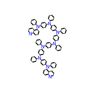 c1ccc(N(c2ccc(N(c3ccccc3)c3ccc(N(c4ccccc4)c4ccc(N(c5ccccc5)c5cccc6ncccc56)cc4)cc3)cc2)c2ccc(N(c3ccccc3)c3ccc(N(c4ccccc4)c4ccc(N(c5ccccc5)c5cccc6ncccc56)cc4)cc3)cc2)cc1